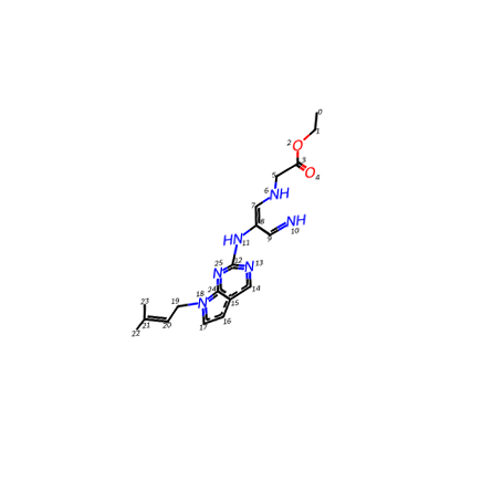 CCOC(=O)CN/C=C(\C=N)Nc1ncc2ccn(CC=C(C)C)c2n1